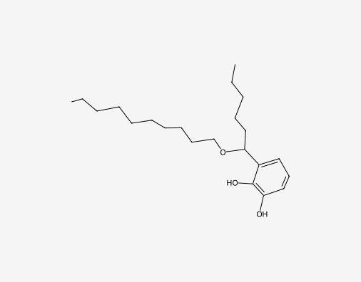 CCCCCCCCCCOC(CCCCC)c1cccc(O)c1O